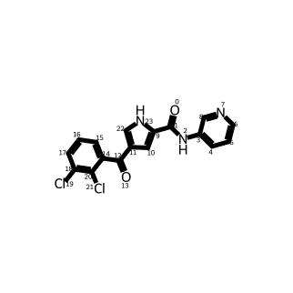 O=C(Nc1cccnc1)c1cc(C(=O)c2cccc(Cl)c2Cl)c[nH]1